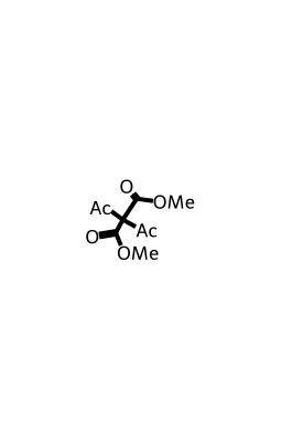 COC(=O)C(C(C)=O)(C(C)=O)C(=O)OC